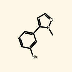 Cn1nccc1-c1cccc(C(C)(C)C)c1